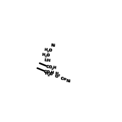 CC(=O)O.CC(=O)O.O.O.O.O.[Co].[LiH].[Ni].[Ni]